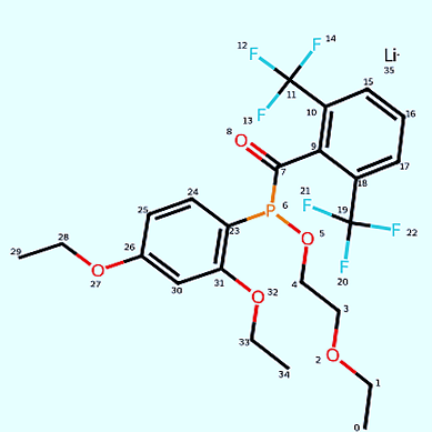 CCOCCOP(C(=O)c1c(C(F)(F)F)cccc1C(F)(F)F)c1ccc(OCC)cc1OCC.[Li]